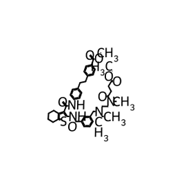 CCOC(=O)CCC(=O)N(C)CCN(Cc1cccc(C(=O)Nc2sc3c(c2C(=O)Nc2ccc(CCc4ccc(C(=O)OC)cc4)cc2)CCCC3)c1)C(C)C